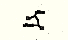 CCCCCCC(CC)CC(CC)CCCCC